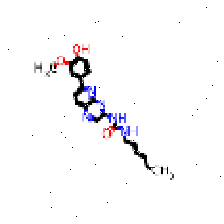 CCCCCCNC(=O)Nc1cnc2ccc(-c3ccc(O)c(OC)c3)nc2n1